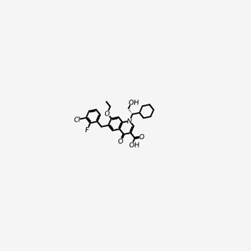 CCOc1cc2c(cc1Cc1cccc(Cl)c1F)c(=O)c(C(=O)O)cn2[C@H](CO)C1CCCCC1